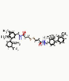 Cc1cccc(-c2cc(CNC(=O)CCSSCCC(=O)NCc3ccc(-c4cccc(C)c4C)c(C)c3C)cc(C)c2C)c1C